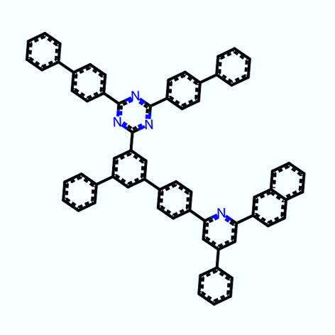 c1ccc(-c2ccc(-c3nc(-c4ccc(-c5ccccc5)cc4)nc(-c4cc(-c5ccccc5)cc(-c5ccc(-c6cc(-c7ccccc7)cc(-c7ccc8ccccc8c7)n6)cc5)c4)n3)cc2)cc1